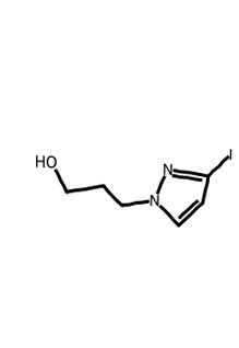 OCCCn1ccc(I)n1